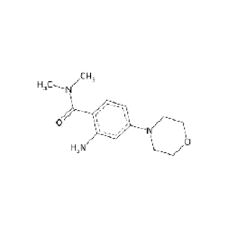 CN(C)C(=O)c1ccc(N2CCOCC2)cc1N